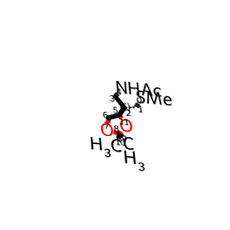 CSC[C@@H](CNC(C)=O)C1COC(C)(C)O1